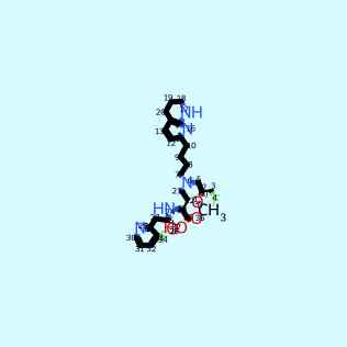 CO[C@H](CF)CN(CCCCc1ccc2c(n1)NCCC2)CC[C@H](NC(=O)Cc1ncccc1F)C(=O)O